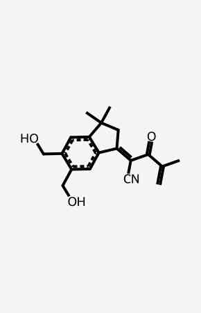 C=C(C)C(=O)/C(C#N)=C1\CC(C)(C)c2cc(CO)c(CO)cc21